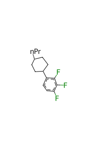 CCCC1CCC(c2ccc(F)c(F)c2F)CC1